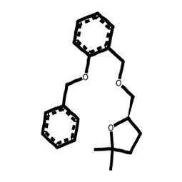 CC1(C)CC[C@H](COCc2ccccc2OCc2ccccc2)O1